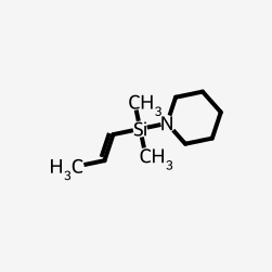 CC=C[Si](C)(C)N1CCCCC1